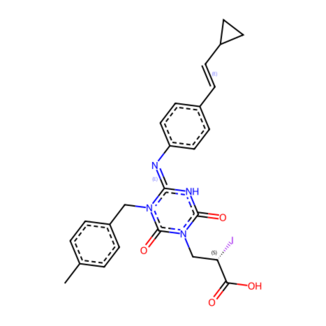 Cc1ccc(Cn2c(=O)n(C[C@H](I)C(=O)O)c(=O)[nH]/c2=N\c2ccc(/C=C/C3CC3)cc2)cc1